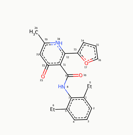 CCc1cccc(CC)c1NC(=O)c1c(-c2ccco2)[nH]c(C)cc1=O